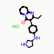 CCc1nc2ccccn2c(=O)c1-c1ccc(NC2CCNC2)cc1.Cl